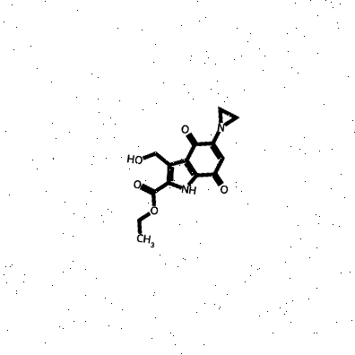 CCOC(=O)c1[nH]c2c(c1CO)C(=O)C(N1CC1)=CC2=O